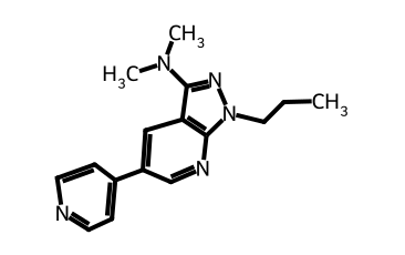 CCCn1nc(N(C)C)c2cc(-c3ccncc3)cnc21